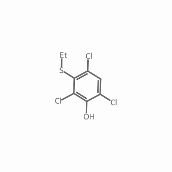 CCSc1c(Cl)cc(Cl)c(O)c1Cl